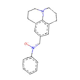 [O-][N+](=Cc1cc2c3c(c1)CCCN3CCC2)c1ccccc1